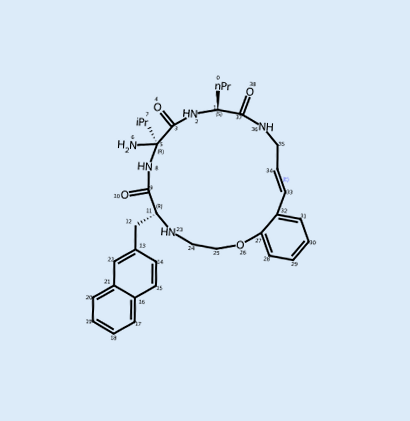 CCC[C@@H]1NC(=O)[C@@](N)(C(C)C)NC(=O)[C@@H](Cc2ccc3ccccc3c2)NCCOc2ccccc2/C=C/CNC1=O